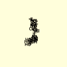 CS(=O)(=O)CC(=O)N(CCCCc1cc(Cl)c(COC2(c3cnccc3-c3ccccc3OC3CC3)CC2)cc1Cl)CC(O)C(O)C(O)C(O)CO